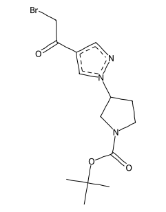 CC(C)(C)OC(=O)N1CCC(n2cc(C(=O)CBr)cn2)C1